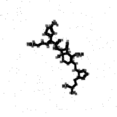 CN(C)CCn1nnnc1SCC1=C(C(=O)O)N2C(=O)C(NC(=O)C(=NOCC(=O)O)c3nsc(N)n3)[C@@H]2SC1